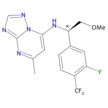 COC[C@H](Nc1cc(C)nc2ncnn12)c1ccc(C(F)(F)F)c(F)c1